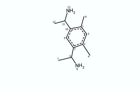 Cc1cc(C)c(C(C)N)cc1C(C)N